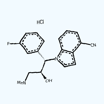 CNC[C@H](O)[C@H](c1cccc(F)c1)n1ccc2c(C#N)cccc21.Cl